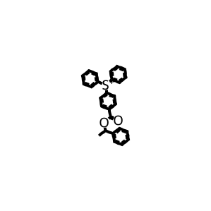 CC(OC(=O)c1ccc([S+](c2ccccc2)c2ccccc2)cc1)c1ccccc1